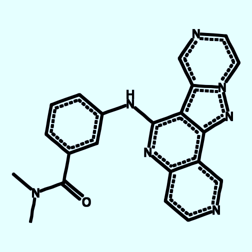 CN(C)C(=O)c1cccc(Nc2nc3ccncc3c3nn4ccncc4c23)c1